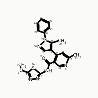 COc1nnc(NC(=O)c2cnc(C)cc2-c2cnn(-c3ccccc3)c2C)s1